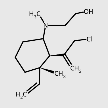 C=C[C@]1(C)CCCC(N(C)CCO)[C@H]1C(=C)CCl